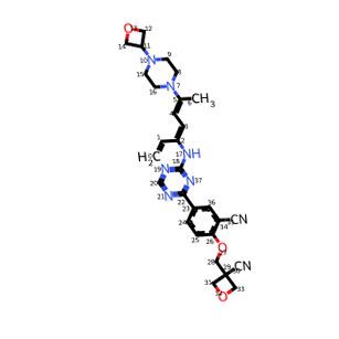 C=C/C(=C\C=C(/C)N1CCN(C2COC2)CC1)Nc1ncnc(-c2ccc(OCC3(C#N)COC3)c(C#N)c2)n1